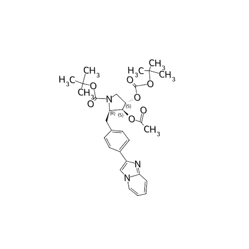 CC(=O)O[C@@H]1[C@@H](OC(=O)OC(C)(C)C)CN(C(=O)OC(C)(C)C)[C@@H]1Cc1ccc(-c2cn3ccccc3n2)cc1